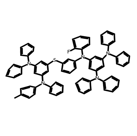 Cc1ccc(N(c2ccccc2)c2cc(Sc3cccc(N(c4cc(N(c5ccccc5)c5ccccc5)cc(N(c5ccccc5)c5ccccc5)c4)c4ccccc4F)c3)cc(N(c3ccccc3)c3ccccc3)c2)cc1